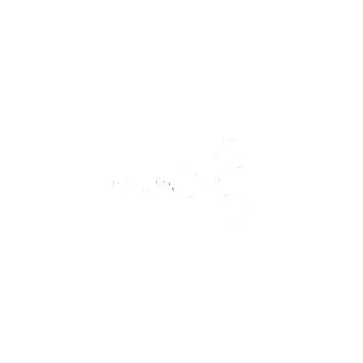 C1CCC(P(C2CCCCC2)C2CCCCC2)CC1.CO[SiH3]